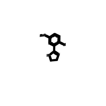 COc1ccc(Cl)c(C2=NCCN2)n1